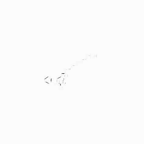 CCCCCCCCCCc1cc2cn(Cc3ccccc3)c(=O)nc2o1